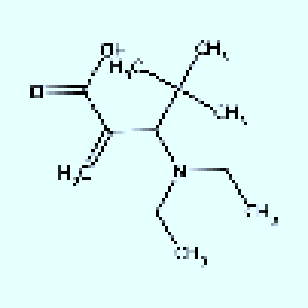 C=C(C(=O)O)C(N(CC)CC)C(C)(C)C